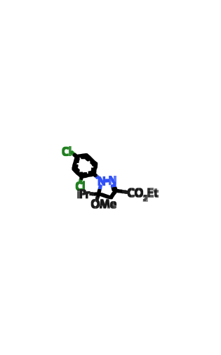 CCOC(=O)C1=NN(c2ccc(Cl)cc2Cl)C(OC)(C(C)C)C1